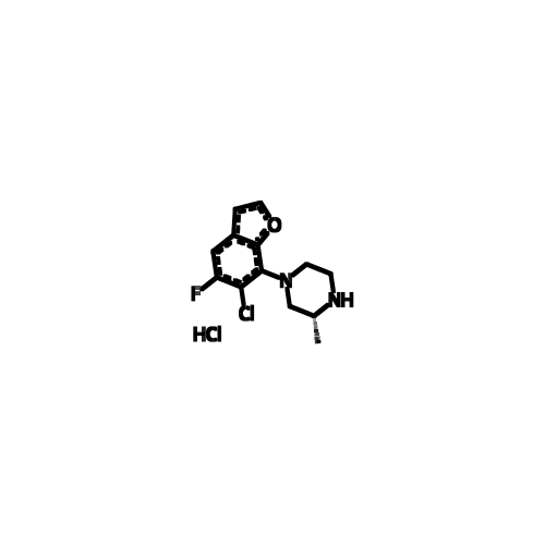 C[C@@H]1CN(c2c(Cl)c(F)cc3ccoc23)CCN1.Cl